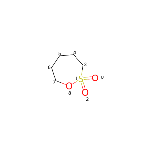 O=S1(=O)CCCCCO1